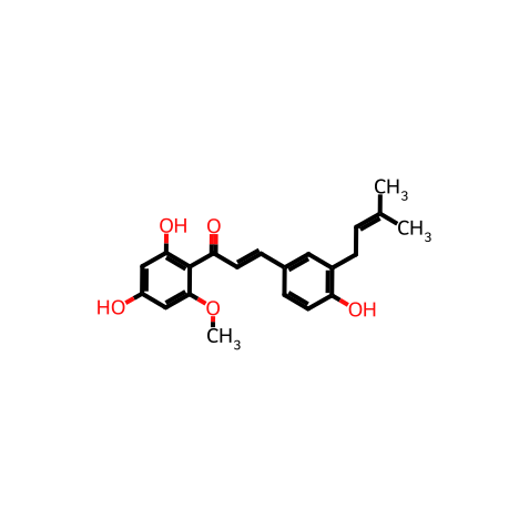 COc1cc(O)cc(O)c1C(=O)C=Cc1ccc(O)c(CC=C(C)C)c1